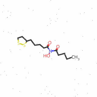 CCCCC(=O)N(O)C(=O)CCCCC1CCSS1